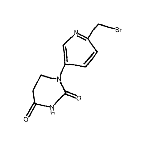 O=C1CCN(c2ccc(CBr)nc2)C(=O)N1